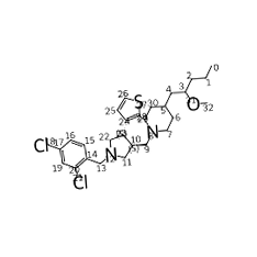 CCCC(CC1CCN(C[C@H]2CN(Cc3ccc(Cl)cc3Cl)C[C@@H]2c2ccsc2)CC1)OC